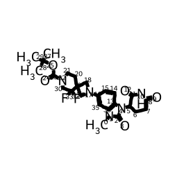 Cn1c(=O)n(C2CCC(=O)NC2=O)c2ccc(N3CC4(CCN(C(=O)OC(C)(C)C)CC4(F)F)C3)cc21